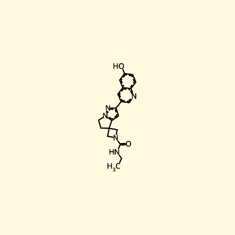 CCNC(=O)N1CC2(CCn3nc(-c4cnc5ccc(O)cc5c4)cc32)C1